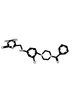 O=C(c1ccccc1)N1CCN(c2ccc(NCc3nc(=O)[nH][nH]3)cc2Cl)CC1